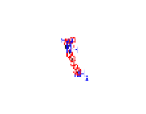 NC(=O)OCCOCCOCCOCCOCCNc1cccc2c1C(=O)N(C1CCC(=O)NC1=O)C2=O